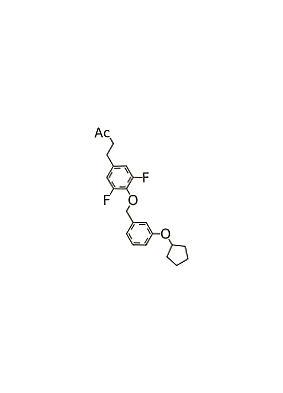 CC(=O)CCc1cc(F)c(OCc2cccc(OC3CCCC3)c2)c(F)c1